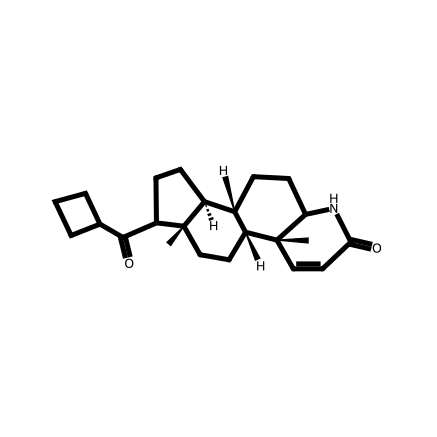 C[C@]12C=CC(=O)NC1CC[C@@H]1[C@H]2CC[C@]2(C)C(C(=O)C3CCC3)CC[C@@H]12